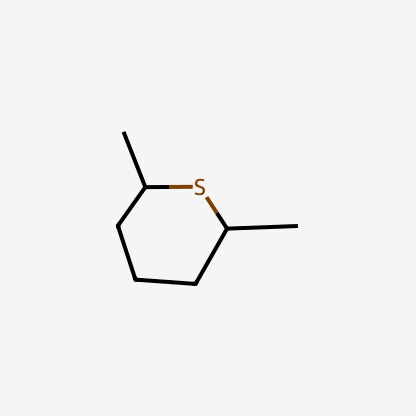 CC1CCCC(C)S1